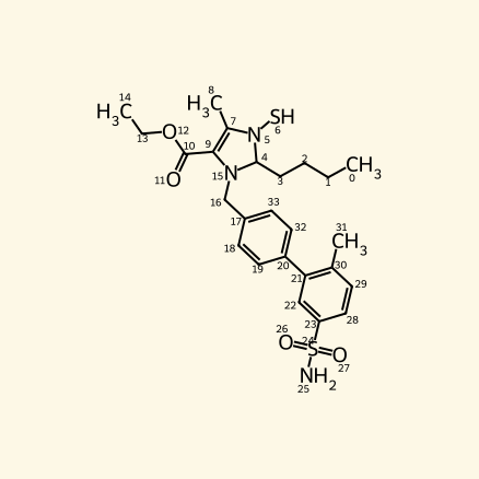 CCCCC1N(S)C(C)=C(C(=O)OCC)N1Cc1ccc(-c2cc(S(N)(=O)=O)ccc2C)cc1